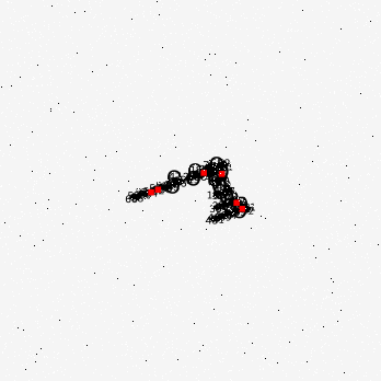 C=C(C)C(=O)OC.C=C(C)C(=O)OCC.C=CC(=O)OCC.C=CC(=O)OCCCC.C=CC(=O)OCCCCCCCC.C=CC(=O)OCCCCCCCCCCCC.C=CC(=O)Oc1ccccc1